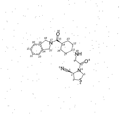 N#C[C@@H]1CSCN1C(=O)CN[C@H]1CC[C@H](C(=O)N2Cc3ccccc3C2)CC1